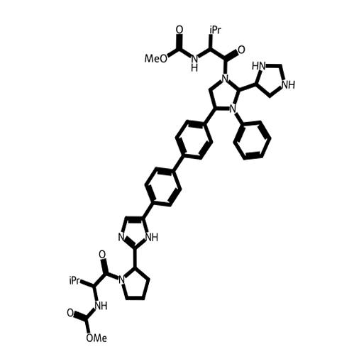 COC(=O)NC(C(=O)N1CCCC1c1ncc(-c2ccc(-c3ccc(C4CN(C(=O)C(NC(=O)OC)C(C)C)C(C5CNCN5)N4c4ccccc4)cc3)cc2)[nH]1)C(C)C